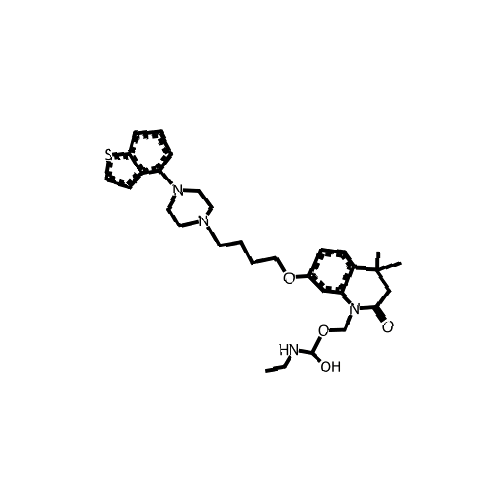 CCNC(O)OCN1C(=O)CC(C)(C)c2ccc(OCCCCN3CCN(c4cccc5sccc45)CC3)cc21